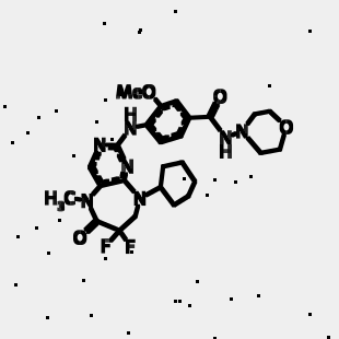 COc1cc(C(=O)NN2CCOCC2)ccc1Nc1ncc2c(n1)N(C1CCCCC1)CC(F)(F)C(=O)N2C